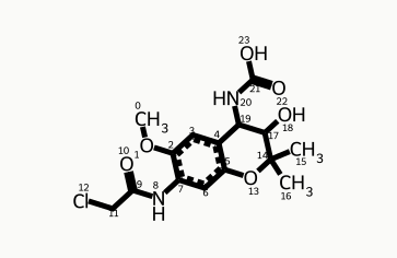 COc1cc2c(cc1NC(=O)CCl)OC(C)(C)C(O)C2NC(=O)O